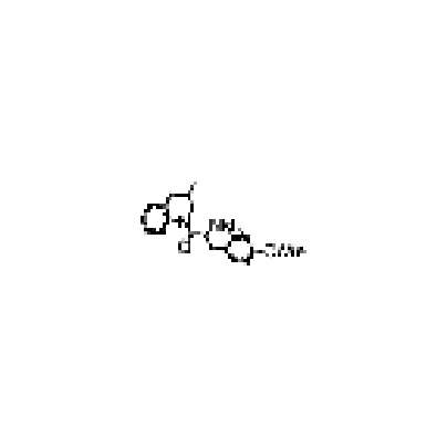 COc1ccc(C[C@H](N)C(=O)N2CC(C)Cc3ccccc32)c(C)c1